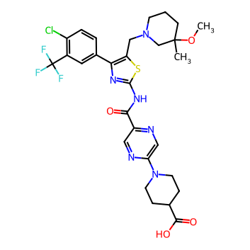 COC1(C)CCCN(Cc2sc(NC(=O)c3cnc(N4CCC(C(=O)O)CC4)cn3)nc2-c2ccc(Cl)c(C(F)(F)F)c2)C1